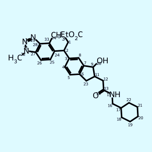 CCOC(=O)CC(c1ccc2c(c1)C(O)C(CC(=O)NCC1CCCCC1)C2)c1ccc2c(nnn2C)c1C